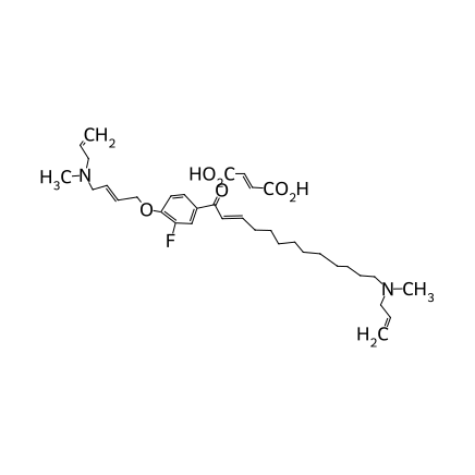 C=CCN(C)C/C=C/COc1ccc(C(=O)/C=C/CCCCCCCCCCN(C)CC=C)cc1F.O=C(O)/C=C/C(=O)O